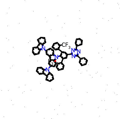 FC(F)(F)c1ccccc1-c1cc(-c2nc(-c3ccccc3)nc(-c3ccccc3)n2)cc(-c2ccccc2C(F)(F)F)c1-n1c2ccc(-n3c4ccccc4c4ccccc43)cc2c2cc(-n3c4ccccc4c4ccccc43)ccc21